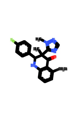 CCOC(=O)c1cccc2c1C(=O)C(C)(c1ncnn1C)C(c1ccc(F)cc1)N2